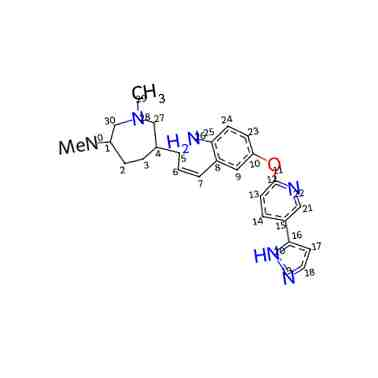 CNC1CCC(C/C=C\c2cc(Oc3ccc(-c4ccn[nH]4)cn3)ccc2N)CN(C)C1